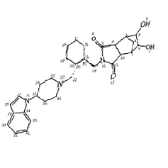 O=C1C2C3CC(C(O)C3O)C2C(=O)N1C[C@@H]1CCCC[C@H]1CN1CCC(n2ccc3ccccc32)CC1